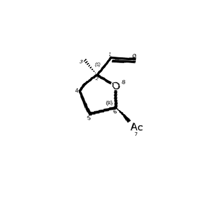 C=C[C@]1(C)CC[C@H](C(C)=O)O1